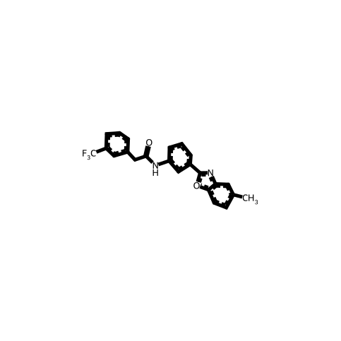 Cc1ccc2oc(-c3cccc(NC(=O)Cc4cccc(C(F)(F)F)c4)c3)nc2c1